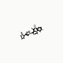 Cc1c2c(-n3cc(C4CCCN4C)nn3)ncn2c2ccccc2[n+]1[O-]